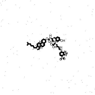 CC(C)CCC[C@@H](C)[C@H]1CC[C@H]2[C@@H]3CC=C4C[C@@H](OC(=O)N[C@@H](Cc5ccc(O)cc5)C(=O)N[C@@H](CCCCNc5ccc([N+](=O)[O-])c6nonc56)C(=O)O)CC[C@]4(C)[C@H]3CC[C@]12C